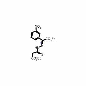 CCOC(=O)CC(=O)N/N=C(/C(=O)OCC)c1cccc([N+](=O)[O-])c1